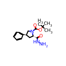 CC(C)(C)OC(=O)N1C[C@H](c2ccccc2)C[C@H]1C(=O)NN